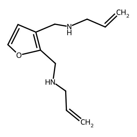 C=CCNCc1ccoc1CNCC=C